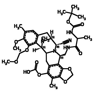 COCOc1c(OC)c(C)cc2c1[C@@H]1C3Cc4c(OC(=O)O)c(C)c5c(c4[C@H](CNC(=O)C(C)NC(=O)OC(C)(C)C)N3[C@@H](C#N)[C@H](C2)N1C)OCO5